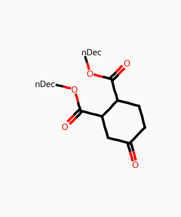 CCCCCCCCCCOC(=O)C1CCC(=O)CC1C(=O)OCCCCCCCCCC